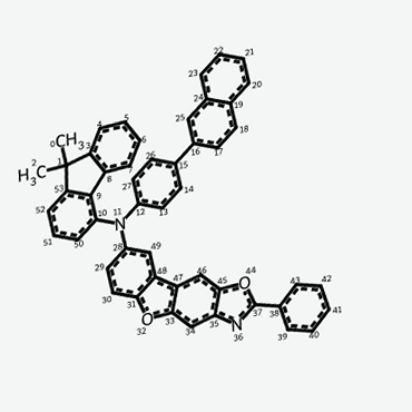 CC1(C)c2ccccc2-c2c(N(c3ccc(-c4ccc5ccccc5c4)cc3)c3ccc4oc5cc6nc(-c7ccccc7)oc6cc5c4c3)cccc21